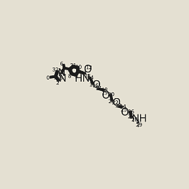 Cc1cnn(C(C)c2ccc(C(=O)NCCOCCOCCOCCOCCNI)cc2)c1